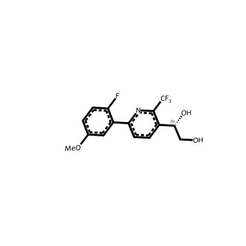 COc1ccc(F)c(-c2ccc([C@H](O)CO)c(C(F)(F)F)n2)c1